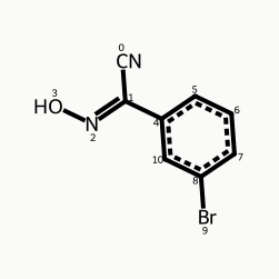 N#C/C(=N\O)c1cccc(Br)c1